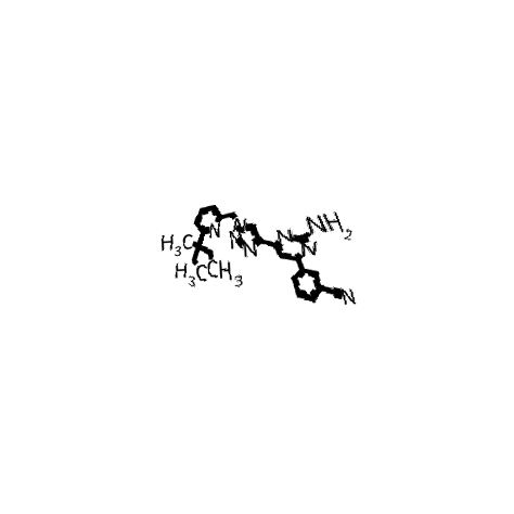 CCC(C)(CC)c1cccc(Cn2cc(-c3cc(-c4cccc(C#N)c4)nc(N)n3)nn2)n1